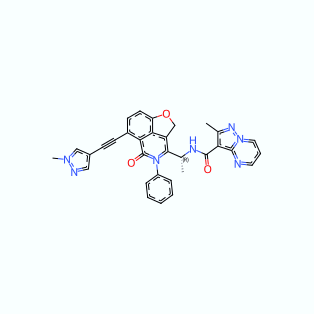 Cc1nn2cccnc2c1C(=O)N[C@H](C)c1c2c3c(ccc(C#Cc4cnn(C)c4)c3c(=O)n1-c1ccccc1)OC2